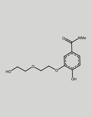 CNC(=O)c1ccc(O)c(OCCOCCO)c1